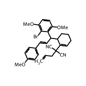 C=CCC(C#N)(C#N)C1=CCCCC1C(C=Cc1ccc(OC)cc1)c1c(OC)ccc(OC)c1Br